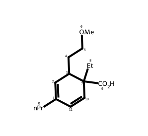 CCCC1=CC(CCOC)C(CC)(C(=O)O)C=C1